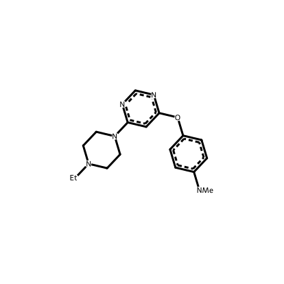 CCN1CCN(c2cc(Oc3ccc(NC)cc3)ncn2)CC1